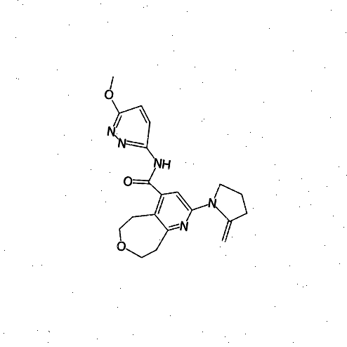 C=C1CCCN1c1cc(C(=O)Nc2ccc(OC)nn2)c2c(n1)CCOCC2